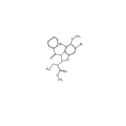 CCC(C(=O)OC)C1Oc2cc(Br)c(OC)c(Br)c2C1C(=O)c1ccccc1